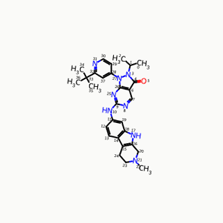 CC(C)n1c(=O)c2cnc(Nc3ccc4c5c([nH]c4c3)CN(C)CC5)nc2n1-c1ccnc(C(C)(C)C)c1